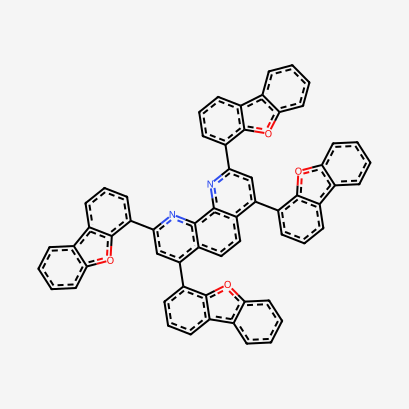 c1ccc2c(c1)oc1c(-c3cc(-c4cccc5c4oc4ccccc45)c4ccc5c(-c6cccc7c6oc6ccccc67)cc(-c6cccc7c6oc6ccccc67)nc5c4n3)cccc12